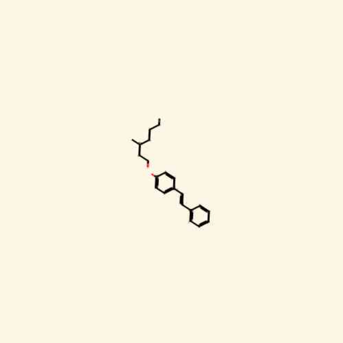 CC(C)CCCC(C)CCOc1ccc([C]=Cc2cc[c]cc2)cc1